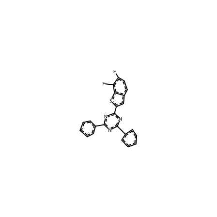 Fc1ccc2cc(-c3nc(-c4ccccc4)nc(-c4ccccc4)n3)sc2c1F